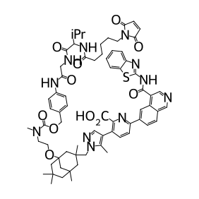 Cc1c(-c2ccc(-c3ccc4cncc(C(=O)Nc5nc6ccccc6s5)c4c3)nc2C(=O)O)cnn1CC1(C)CC2(C)CC(C)(C)CC(OCCN(C)C(=O)OCc3ccc(NC(=O)CNC(=O)C(NC(=O)CCCCCN4C(=O)C=CC4=O)C(C)C)cc3)(C1)C2